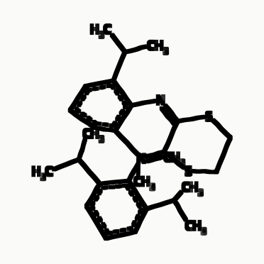 CC(C)c1cccc(C(C)C)c1/N=C1\SCCS\C1=N\c1c(C(C)C)cccc1C(C)C